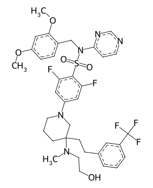 COc1ccc(CN(c2ccncn2)S(=O)(=O)c2c(F)cc(N3CCCC(CCc4cccc(C(F)(F)F)c4)(N(C)CCO)C3)cc2F)c(OC)c1